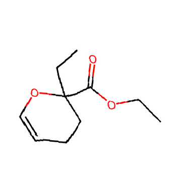 CCOC(=O)C1(CC)CCC=CO1